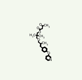 CC(=O)CC(=O)OCC(C)(C)COC/C(C)=C/c1ccc(Oc2cccnc2)cc1